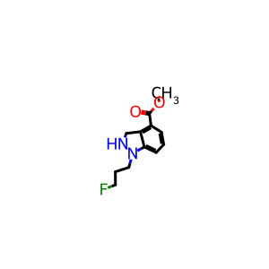 COC(=O)c1cccc2c1CNN2CCCF